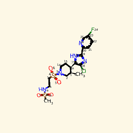 C[C@H]1CN(S(=O)(=O)CCNS(C)(=O)=O)CC[C@H]1c1[nH]c(-c2ccc(F)cn2)nc1Cl